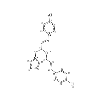 Clc1ccc(C=CC(Cn2ccnc2)OC/C=C/c2ccc(Cl)cc2)cc1